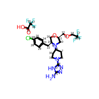 Nc1nnc(N2CCC(N3C[C@H](COCC(F)(F)F)OC[C@@H]3Cc3ccc(Cl)cc3)CC2)[nH]1.O=C(O)C(F)(F)F